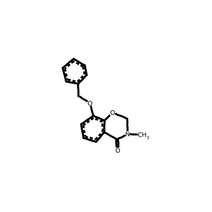 CN1COc2c(OCc3ccccc3)cccc2C1=O